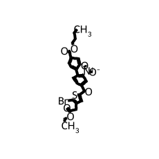 CCCCOC(=O)c1ccc(-c2ccc(C(=O)c3cc(CC(=O)OCC)c(Br)s3)cc2[N+](=O)[O-])cc1